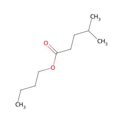 CCCCOC(=O)CCC(C)C